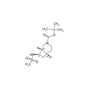 CC(C)(C)OC(=O)N1CC[C@@H]2C[C@@H](NS(C)(=O)=O)[C@@H]2C1